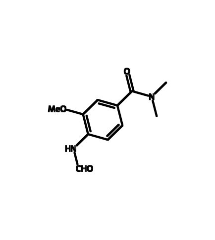 COc1cc(C(=O)N(C)C)ccc1NC=O